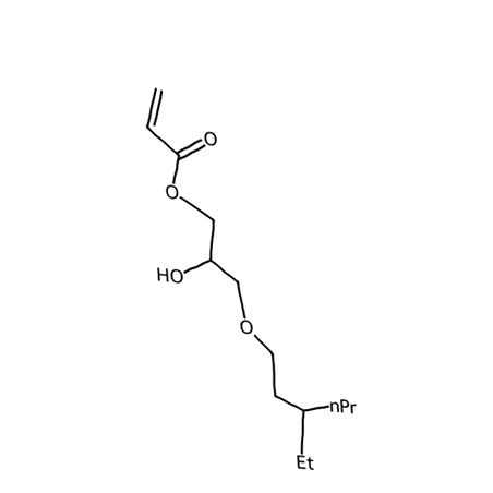 C=CC(=O)OCC(O)COCCC(CC)CCC